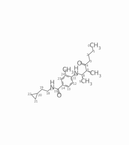 CCCCC(=O)[C@@H](C)[C@@H](C)Nc1ccc(C(=O)NCCC2CC2)cc1C